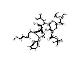 COCCCCc1c(C(=O)N(CC(C)C)[C@H]2C[C@@H](C(=O)N(C)OC)CN(C(=O)OC(C)(C)C)C2)nnn1-c1ccccc1